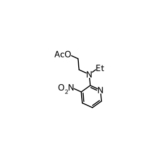 CCN(CCOC(C)=O)c1ncccc1[N+](=O)[O-]